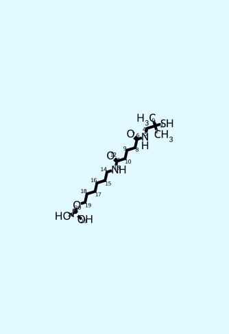 CC(C)(S)CNC(=O)CCCC(=O)NCCCCCCOP(O)O